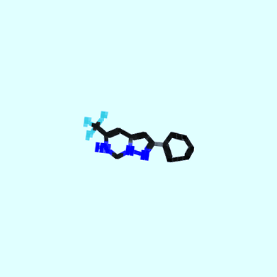 FC(F)(F)C1=Cc2cc(-c3ccccc3)nn2CN1